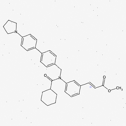 COC(=O)/C=C/c1cccc(N(Cc2ccc(-c3ccc(N4CCCC4)cc3)cc2)C(=O)C2CCCCC2)c1